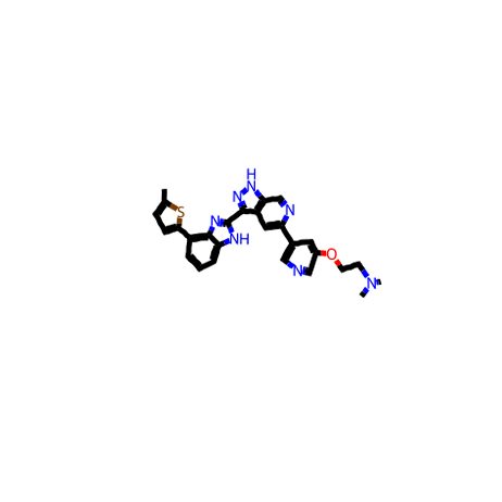 Cc1ccc(-c2cccc3[nH]c(-c4n[nH]c5cnc(-c6cncc(OCCN(C)C)c6)cc45)nc23)s1